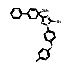 CCCCc1nc(C2(OC)C=CC(c3ccccc3)=CC2)nn1-c1ccc(Oc2ccc(Cl)cc2)cc1